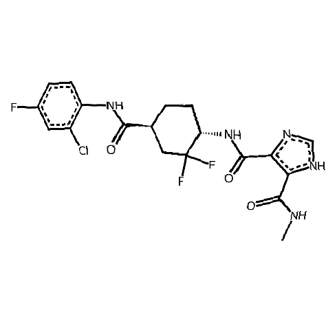 CNC(=O)c1[nH]cnc1C(=O)N[C@H]1CC[C@H](C(=O)Nc2ccc(F)cc2Cl)CC1(F)F